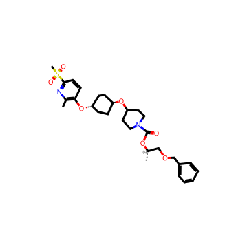 Cc1nc(S(C)(=O)=O)ccc1O[C@H]1CC[C@H](OC2CCN(C(=O)O[C@@H](C)COCc3ccccc3)CC2)CC1